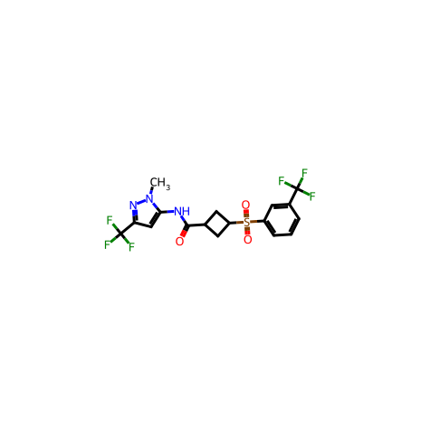 Cn1nc(C(F)(F)F)cc1NC(=O)C1CC(S(=O)(=O)c2cccc(C(F)(F)F)c2)C1